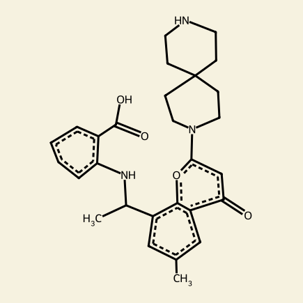 Cc1cc(C(C)Nc2ccccc2C(=O)O)c2oc(N3CCC4(CCNCC4)CC3)cc(=O)c2c1